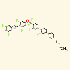 CCCCCc1ccc(-c2ccc(-c3ccc(C(F)(F)Oc4cc(F)c(/C=C/c5cc(F)c(F)c(F)c5)c(F)c4)c(F)c3)c(F)c2)cc1